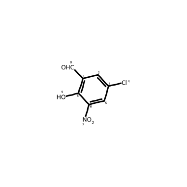 O=Cc1cc(Cl)cc([N+](=O)[O-])c1O